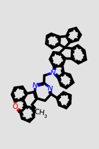 CCC1=C(c2cccc3oc4ccccc4c23)N=C(Cn2c3ccccc3c3c4c(ccc32)C2(c3ccccc3-c3ccccc32)c2ccccc2-4)N=C(c2ccccc2)C1